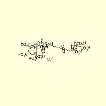 O=C(O)CCCC1CCN(c2nc(NCCCCCCCC(=O)NCCCC[C@H](NC(=O)N[C@@H](CCC(=O)O)C(=O)O)C(=O)O)nc(Nc3ccc(CC4CN(CC(=O)O)CCN(CC(=O)O)CCN(CC(=O)O)CCN4CC(=O)O)cc3)n2)CC1.[Lu+3]